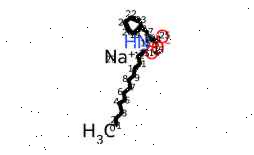 CCCCCCCCCCCCCC(=O)N[C@@H](Cc1ccccc1)C(=O)[O-].[Na+]